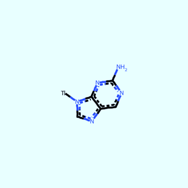 Nc1ncc2nc[n]([Tl])c2n1